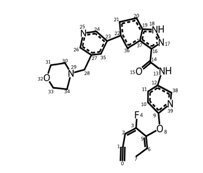 C#C/C=C(F)\C(=C/C)Oc1ccc(NC(=O)c2n[nH]c3ccc(-c4cncc(CN5CCOCC5)c4)cc23)cn1